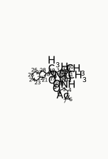 CC(=O)C(=O)C(CC1CC1)NC(=O)[C@@H]1[C@@H]2[C@H](CN1C(=O)[C@@H](C)C1CC3CCCCC3C1)C2(C)C